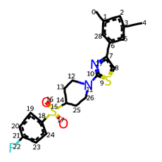 Cc1cc(C)cc(-c2csc(N3CCC(S(=O)(=O)c4ccc(F)cc4)CC3)n2)c1